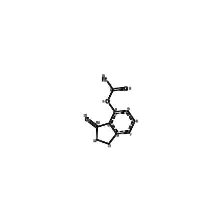 CCC(=O)Oc1cccc2c1C(=O)CC2